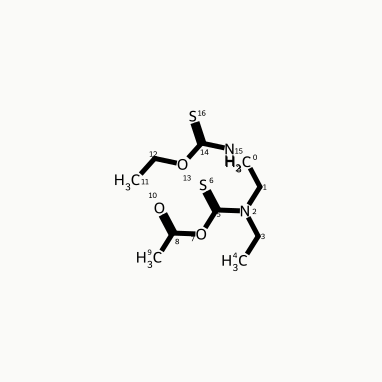 CCN(CC)C(=S)OC(C)=O.CCOC(N)=S